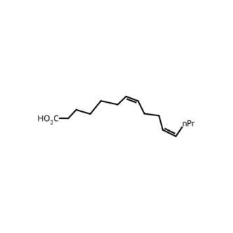 CCC/C=C\CC/C=C\CCCCCC(=O)O